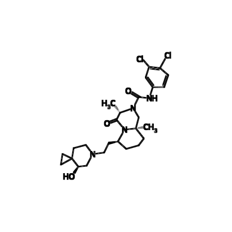 C[C@H]1C(=O)N2[C@H](CCN3CCC4(CC4)[C@H](O)C3)CCC[C@]2(C)CN1C(=O)Nc1ccc(Cl)c(Cl)c1